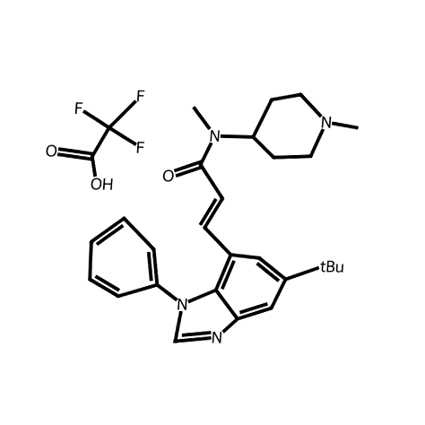 CN1CCC(N(C)C(=O)C=Cc2cc(C(C)(C)C)cc3ncn(-c4ccccc4)c23)CC1.O=C(O)C(F)(F)F